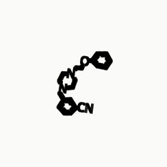 N#Cc1cccc(CN2CCN(CCOc3ccccc3)CC2)c1